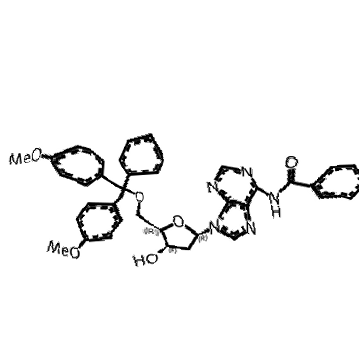 COc1ccc(C(OC[C@H]2O[C@@H](n3cnc4c(NC(=O)c5ccccc5)ncnc43)C[C@H]2O)(c2ccccc2)c2ccc(OC)cc2)cc1